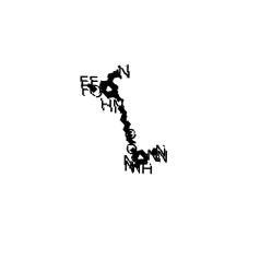 N#CCc1cc(CNCCCCOCCOc2cc(-n3cnnc3)cc3[nH]nnc23)cc(OC(F)(F)F)c1